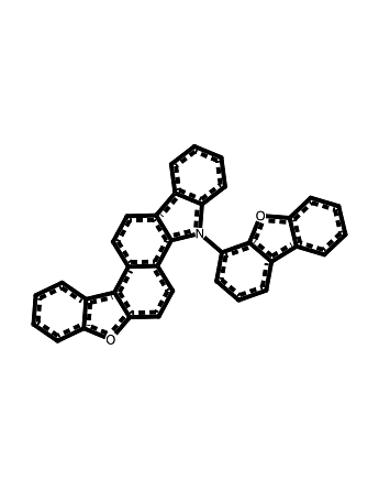 c1ccc2c(c1)oc1c(-n3c4ccccc4c4ccc5c(ccc6oc7ccccc7c65)c43)cccc12